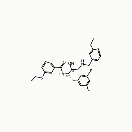 CCSc1cccc(C(=O)N[C@@H](Cc2cc(F)cc(F)c2)[C@@H](O)CNCc2cccc(CC)c2)c1